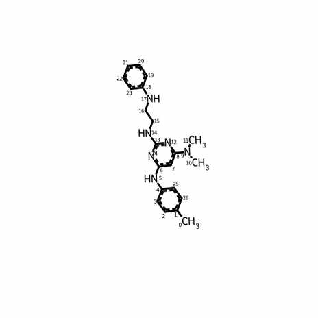 Cc1ccc(Nc2cc(N(C)C)nc(NCCNc3ccccc3)n2)cc1